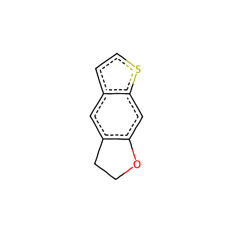 c1cc2cc3c(cc2s1)OCC3